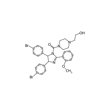 COc1ccccc1C1=NC(c2ccc(Br)cc2)C(c2ccc(Br)cc2)N1C(=O)N1CCN(CCO)CC1